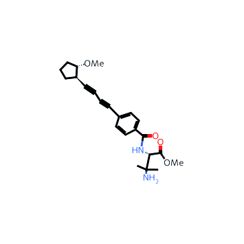 COC(=O)[C@@H](NC(=O)c1ccc(C#CC#C[C@H]2CCC[C@@H]2OC)cc1)C(C)(C)N